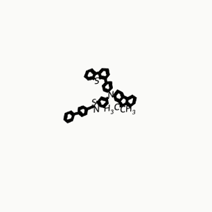 CC1(C)c2ccccc2-c2ccc(N(c3ccc(-c4cccc5c4sc4ccccc45)cc3)c3ccc4nc(-c5ccc(-c6ccccc6)cc5)sc4c3)cc21